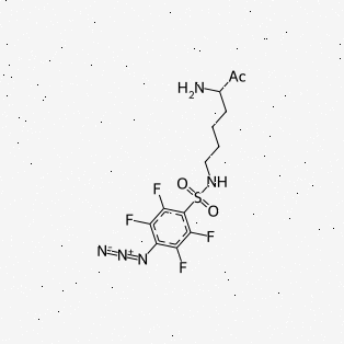 CC(=O)C(N)CCCCNS(=O)(=O)c1c(F)c(F)c(N=[N+]=[N-])c(F)c1F